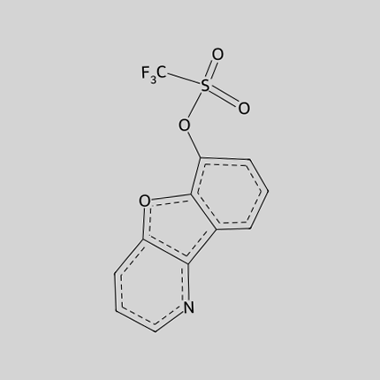 O=S(=O)(Oc1cccc2c1oc1cccnc12)C(F)(F)F